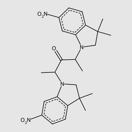 CC(C(=O)C(C)N1CC(C)(C)c2ccc([N+](=O)[O-])cc21)N1CC(C)(C)c2ccc([N+](=O)[O-])cc21